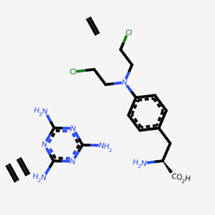 C=C.C=C.C=C.N[C@@H](Cc1ccc(N(CCCl)CCCl)cc1)C(=O)O.Nc1nc(N)nc(N)n1